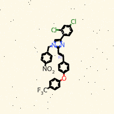 O=[N+]([O-])c1ccc(Cn2cc(-c3ccc(Cl)cc3Cl)nc2/C=C/c2ccc(Oc3ccc(C(F)(F)F)cc3)cc2)cc1